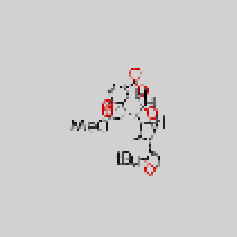 COC(=O)C[C@H]1[C@]2(C)C3=C(C)[C@H](c4ccoc4C(C)(C)C)C[C@H]3O[C@@H]2[C@@H]2OC(=O)[C@]3(C)C=CC(=O)[C@@]1(C)C23